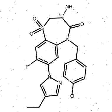 CCc1cnn(-c2cc3c(cc2F)S(=O)(=O)C[C@H](N)C(=O)N3Cc2ccc(Cl)cc2)c1